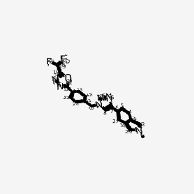 Cn1cc2ccc(-c3cn(Cc4ccc(-c5nnc(C(F)F)o5)cc4)nn3)cc2c1